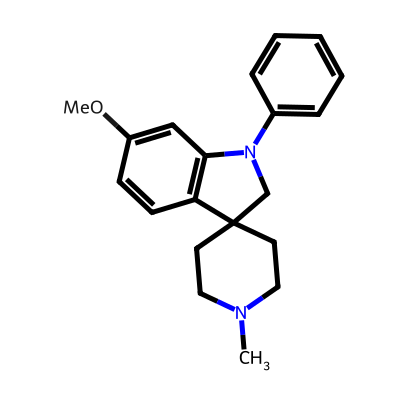 COc1ccc2c(c1)N(c1ccccc1)CC21CCN(C)CC1